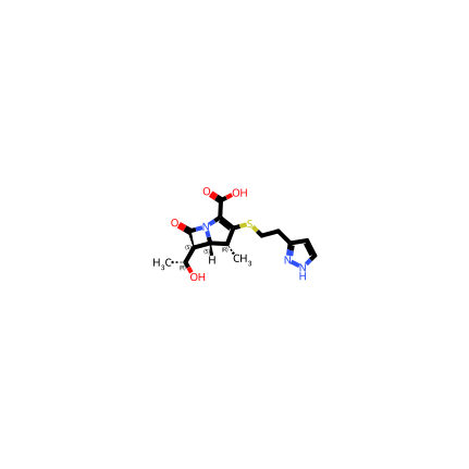 C[C@@H](O)[C@H]1C(=O)N2C(C(=O)O)=C(SCCc3cc[nH]n3)[C@H](C)[C@H]12